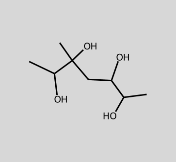 CC(O)C(O)CC(C)(O)C(C)O